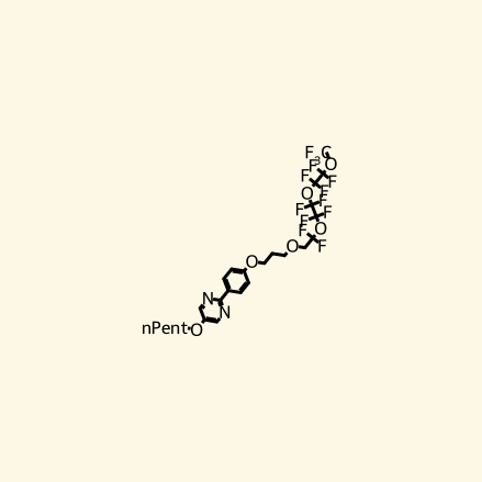 CCCCCOc1cnc(-c2ccc(OCCCOCC(F)(F)OC(F)(F)C(F)(F)OC(F)(F)C(F)(F)OC(F)(F)F)cc2)nc1